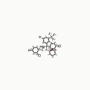 Fc1cc(C(F)(F)F)cc(C(Cc2ccccc2)(NCc2ccc(F)cc2Cl)c2ccc(Cl)cn2)c1